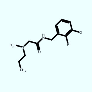 CCCN(C)CC(=O)NCc1cccc(Cl)c1F